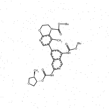 Cc1c(-c2cc(NC(=O)OC(C)(C)C)c3cnc(NC(=O)O[C@@H]4COC[C@H]4C)cc3c2)cnc2c1N(C(=O)OC(C)(C)C)CCO2